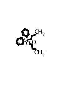 [CH2]CCC(=O)O[Si](CCCC)(c1ccccc1)c1ccccc1